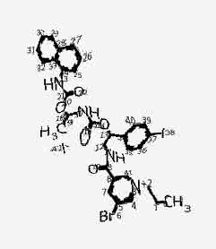 CCC[n+]1cc(Br)cc(C(=O)NCC(OC(=O)NC(C)OC(=O)Nc2cccc3ccccc23)c2ccc(I)cc2)c1.[I-]